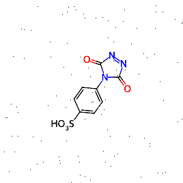 O=C1N=NC(=O)N1c1ccc(S(=O)(=O)O)cc1